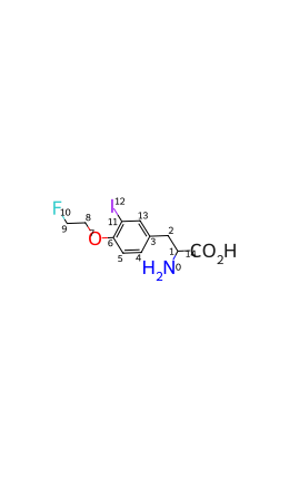 NC(Cc1ccc(OCCF)c(I)c1)C(=O)O